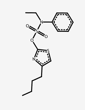 CCCCc1csc(OS(=O)(=O)N(CC)c2ccccc2)n1